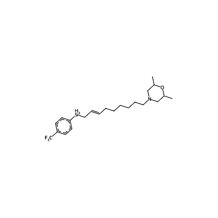 CC1CN(CCCCCCC=CC[SiH2]c2ccc(C(F)(F)F)cc2)CC(C)O1